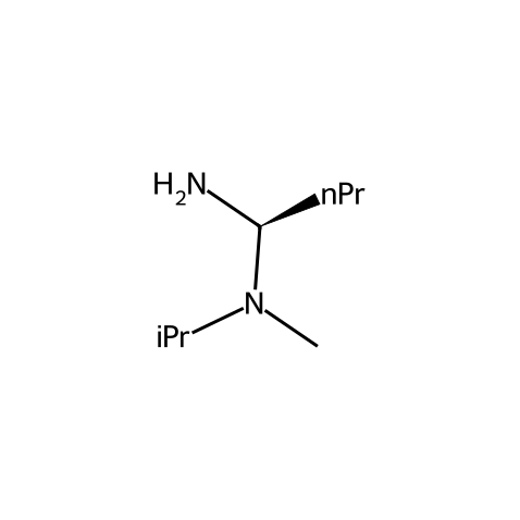 CCC[C@H](N)N(C)C(C)C